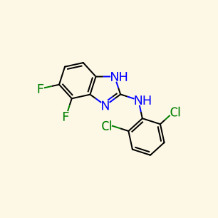 Fc1ccc2[nH]c(Nc3c(Cl)cccc3Cl)nc2c1F